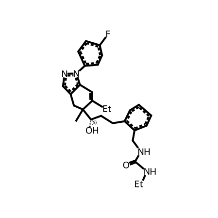 CCNC(=O)NCc1ccccc1CC[C@H](O)C1(C)Cc2cnn(-c3ccc(F)cc3)c2C=C1CC